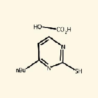 CCCCc1ccnc(S)n1.O=C(O)O